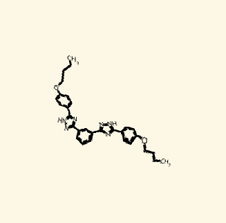 CCCCOc1ccc(-c2nc(-c3cccc(-c4n[nH]c(-c5ccc(OCCCC)cc5)n4)c3)n[nH]2)cc1